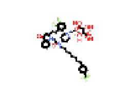 CCN1CCC(N(CCCCCCCCc2ccc(C(F)(F)F)cc2)C(=O)Cn2c(CCc3cccc(F)c3F)cc(=O)c3ccccc32)CC1.O=C(O)C(O)C(O)C(=O)O